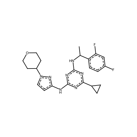 CC(Nc1nc(Nc2ccn(C3CCOCC3)n2)nc(C2CC2)n1)c1ccc(F)cc1F